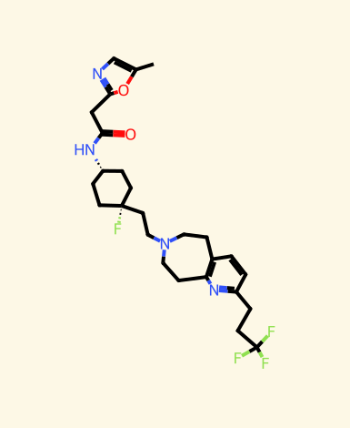 Cc1cnc(CC(=O)N[C@H]2CC[C@](F)(CCN3CCc4ccc(CCC(F)(F)F)nc4CC3)CC2)o1